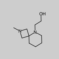 CN1CC2(CCCCN2CCO)C1